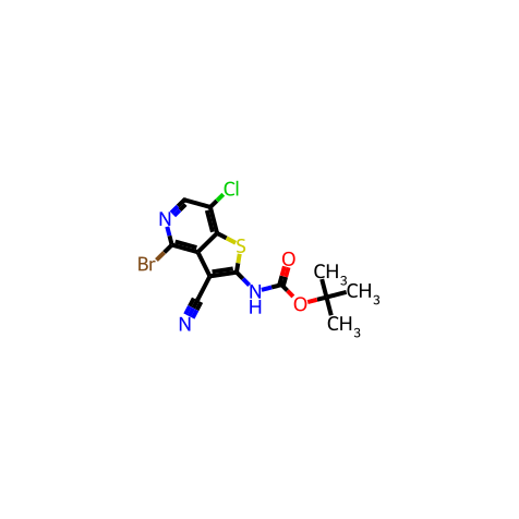 CC(C)(C)OC(=O)Nc1sc2c(Cl)cnc(Br)c2c1C#N